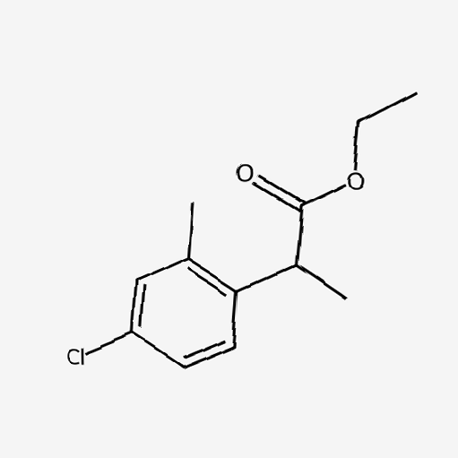 CCOC(=O)C(C)c1ccc(Cl)cc1C